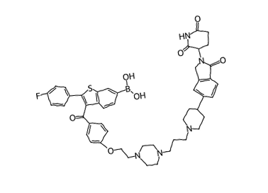 O=C1CCC(N2Cc3cc(C4CCN(CCCN5CCN(CCOc6ccc(C(=O)c7c(-c8ccc(F)cc8)sc8cc(B(O)O)ccc78)cc6)CC5)CC4)ccc3C2=O)C(=O)N1